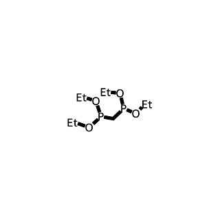 CCOP(CP(OCC)OCC)OCC